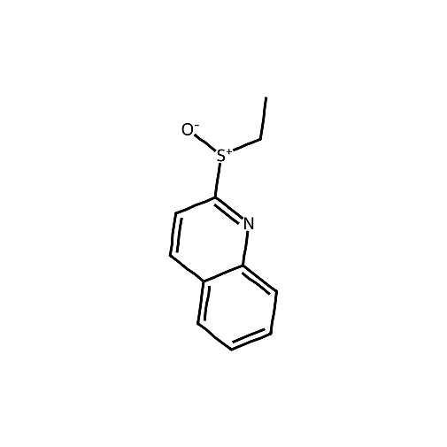 CC[S+]([O-])c1ccc2ccccc2n1